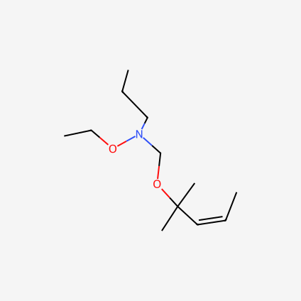 C/C=C\C(C)(C)OCN(CCC)OCC